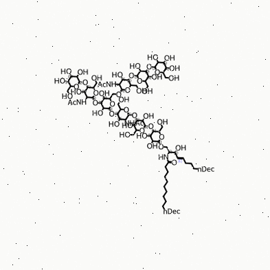 CCCCCCCCCCCCC/C=C/[C@@H](O)[C@H](CO[C@@H]1OC(CO)[C@@H](O[C@@H]2OC(CO)[C@H](O)[C@H](O[C@@H]3OC(CO)[C@@H](O[C@@H]4OC(CO[C@@H]5OC(CO)[C@@H](O[C@@H]6OC(CO)[C@H](O)[C@H](O[C@@H]7OC(CO)[C@H](O)[C@H](O)C7O)C6O)[C@H](O)C5NC(C)=O)[C@H](O)[C@H](O[C@@H]5OC(CO)[C@@H](O[C@@H]6OC(CO)[C@H](O)[C@H](O)C6O)[C@H](O)C5NC(C)=O)C4O)[C@H](O)C3NC(C)=O)C2O)[C@H](O)C1O)NC(=O)CCCCCCCCCCCCCCCCCCC